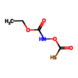 CCOC(=O)NOC(=O)S